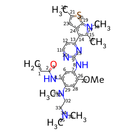 C=CC(=O)Nc1cc(Nc2nccc(-c3c(C)n(C)c4sc(C)cc34)n2)c(OC)cc1N(C)CCN(C)C